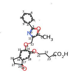 Cc1oc(-c2ccccc2)nc1COc1cc2c(cc1OCCCC(=O)O)C(=O)CC2